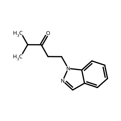 CC(C)C(=O)CCn1ncc2ccccc21